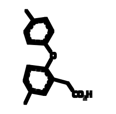 Cc1ccc(Oc2ccc(C)cc2CC(=O)O)cc1